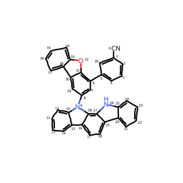 N#Cc1cccc(-c2cc(-n3c4ccccc4c4ccc5c6ccccc6[nH]c5c43)cc3c2oc2ccccc23)c1